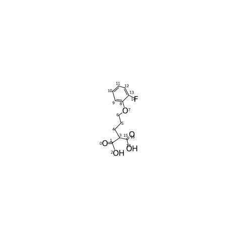 O=C(O)C(CCCOc1ccccc1F)C(=O)O